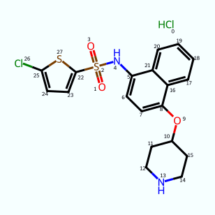 Cl.O=S(=O)(Nc1ccc(OC2CCNCC2)c2ccccc12)c1ccc(Cl)s1